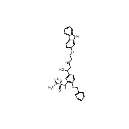 CN(C)S(=O)(=O)Nc1cc(C(O)CNCCOc2ccc3c(c2)[nH]c2ccccc23)ccc1OCc1ccccc1